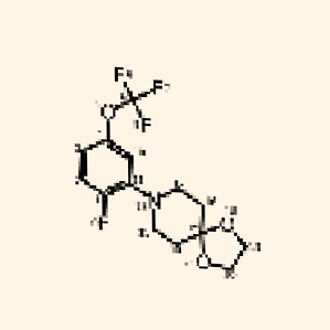 Fc1ccc(OC(F)(F)F)cc1N1CCC2(CC1)OCCO2